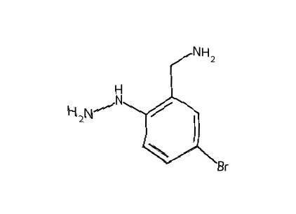 NCc1cc(Br)ccc1NN